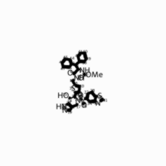 COC(=O)N[C@H](C(=O)NCc1ccc([C@H](CO)N(Cc2cn[nH]c2)S(=O)(=O)c2ccc3scnc3c2)s1)C(c1ccccc1)c1ccccc1